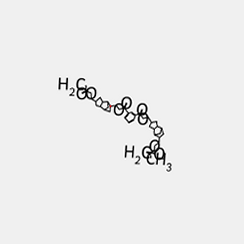 C=CC(=O)OCC1CC2C3CC(COC(=O)c4cccc(C(=O)OCC5CC6C7CC(COC(=O)C(=C)C)C(C7)C6C5)c4)C(C3)C2C1